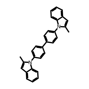 Cc1cc2ccccc2n1-c1ccc(-c2ccc(-n3c(C)cc4ccccc43)cc2)cc1